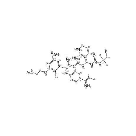 CN=C(N)c1ccc(N[C@@H](C(=N)/N=C(\NC2=NC=CCN2)OCOC(=O)OC(C)(C)CF)c2cc(OC)cc(OCCOC(C)=O)c2F)cc1